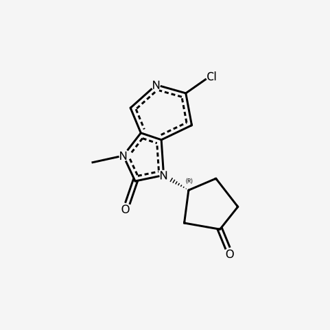 Cn1c(=O)n([C@@H]2CCC(=O)C2)c2cc(Cl)ncc21